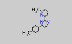 Cc1ccc(-c2ccnc(-c3cccc(C)n3)n2)cc1